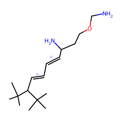 CC(C)(C)C(/C=C/C=C/C(N)CCOCN)C(C)(C)C